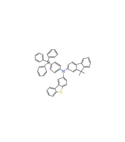 CC1(C)c2ccccc2-c2ccc(N(c3ccc([Si](c4ccccc4)(c4ccccc4)c4ccccc4)cc3)c3ccc4sc5ccccc5c4c3)cc21